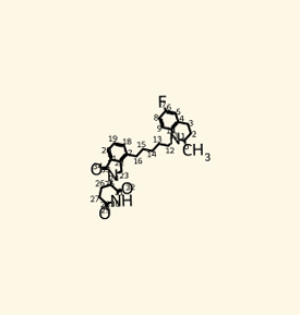 CC1CCc2cc(F)ccc2N1CCCCCc1cccc2c1CN(C1CCC(=O)NC1=O)C2=O